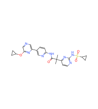 CC(C)(C(=O)Nc1ccc(-c2cncc(OC3CC3)n2)cn1)c1ccnc(NS(=O)(=O)C2CC2)n1